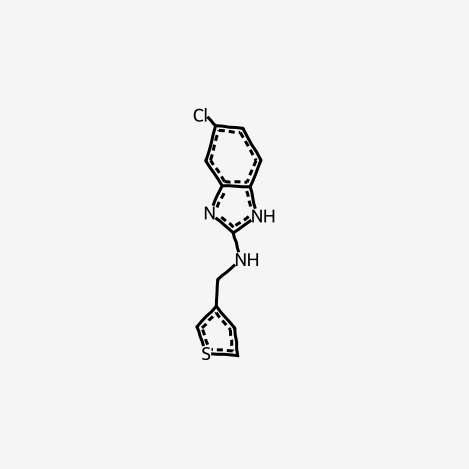 Clc1ccc2[nH]c(NCc3ccsc3)nc2c1